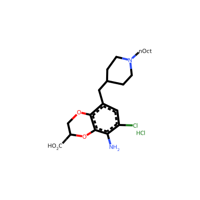 CCCCCCCCN1CCC(Cc2cc(Cl)c(N)c3c2OCC(C(=O)O)O3)CC1.Cl